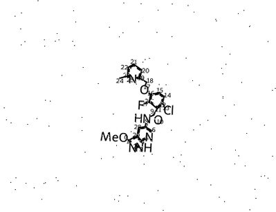 COc1n[nH]c2ncc(NC(=O)c3c(Cl)ccc(OCc4cccc(C)n4)c3F)cc12